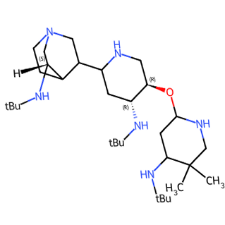 CC(C)(C)NC1CC(O[C@@H]2CNC(C3CN4CCC3[C@H](NC(C)(C)C)C4)C[C@H]2NC(C)(C)C)NCC1(C)C